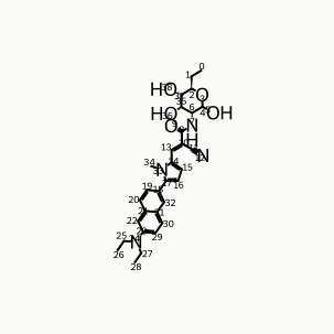 CC[C@H]1OC(O)[C@H](NC(=O)/C(C#N)=C/c2ccc(-c3ccc4cc(N(CC)CC)ccc4c3)n2C)[C@@H](O)[C@@H]1O